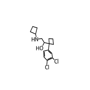 OC(CNC1CCC1)C1(c2ccc(Cl)c(Cl)c2)CCC1